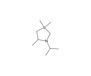 CC(C)N1C[Si](C)(C)CC1C